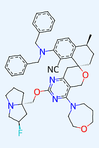 C[C@H]1CC[C@]2(Cc3nc(OC[C@@]45CCCN4C[C@H](F)C5)nc(N4CCCOCC4)c3CO2)c2c1ccc(N(Cc1ccccc1)Cc1ccccc1)c2C#N